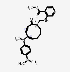 C=C1/C=C\C(N(C)c2ccc(N(C)C)cc2)=C/CCC[C@@H]1CNc1cnccc1C(=O)OC